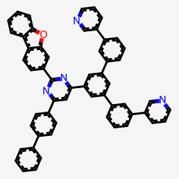 c1ccc(-c2ccc(-c3cc(-c4cc(-c5cccc(-c6cccnc6)c5)cc(-c5cccc(-c6cccnc6)c5)c4)nc(-c4ccc5c(c4)oc4ccccc45)n3)cc2)cc1